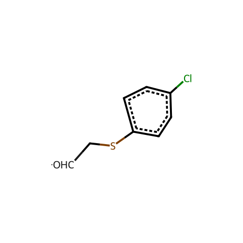 O=[C]CSc1ccc(Cl)cc1